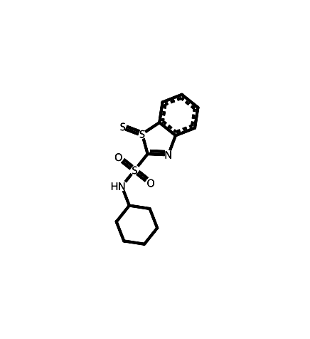 O=S(=O)(NC1CCCCC1)C1=Nc2ccccc2S1=S